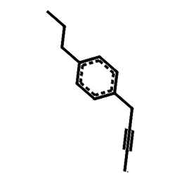 [CH2]C#CCc1ccc(CCC)cc1